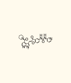 Cn1cc(/C=C2\Oc3ccc(NC(=O)Nc4cccnc4)cc3C2=O)c2c(C(=O)N3CCCCC3)ccnc21